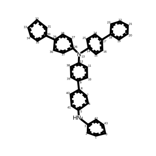 c1ccc(Nc2ccc(-c3ccc(N(c4ccc(-c5ccccc5)cc4)c4ccc(-c5ccccc5)cc4)cc3)cc2)cc1